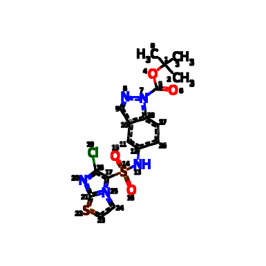 CC(C)(C)OC(=O)n1ncc2cc(NS(=O)(=O)c3c(Cl)nc4sccn34)ccc21